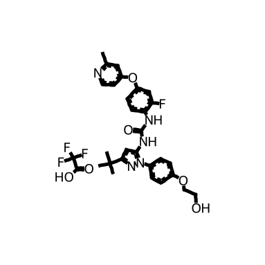 Cc1cc(Oc2ccc(NC(=O)Nc3cc(C(C)(C)C)nn3-c3ccc(OCCO)cc3)c(F)c2)ccn1.O=C(O)C(F)(F)F